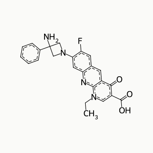 CCn1cc(C(=O)O)c(=O)c2cc3cc(F)c(N4CC(N)(c5ccccc5)C4)cc3nc21